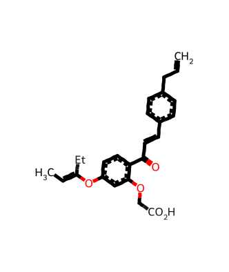 C=CCc1ccc(/C=C/C(=O)c2ccc(O/C(=C/C)CC)cc2OCC(=O)O)cc1